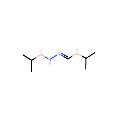 CC(C)B/C=N/NBC(C)C